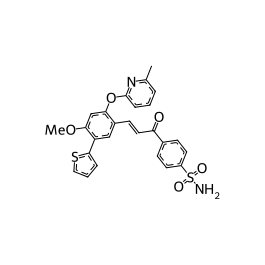 COc1cc(Oc2cccc(C)n2)c(C=CC(=O)c2ccc(S(N)(=O)=O)cc2)cc1-c1cccs1